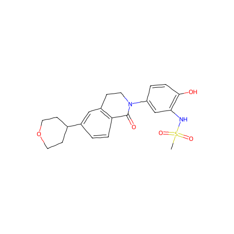 CS(=O)(=O)Nc1cc(N2CCc3cc(C4CCOCC4)ccc3C2=O)ccc1O